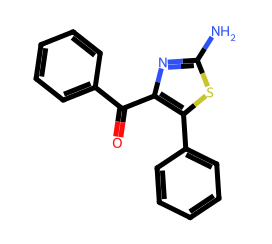 Nc1nc(C(=O)c2ccccc2)c(-c2ccccc2)s1